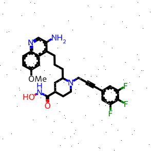 COc1ccc2ncc(N)c(CCCC3CC(C(=O)NO)CCN3CC#Cc3cc(F)c(F)c(F)c3)c2c1